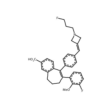 COc1c(F)cccc1C1=C(c2ccc(C=C3CN(CCCF)C3)cc2)c2ccc(C(=O)O)cc2CCC1